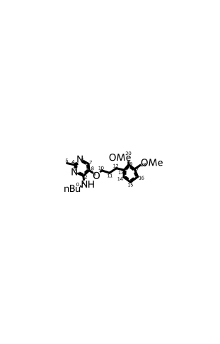 CCCCNc1nc(C)ncc1OCCCc1cccc(OC)c1OC